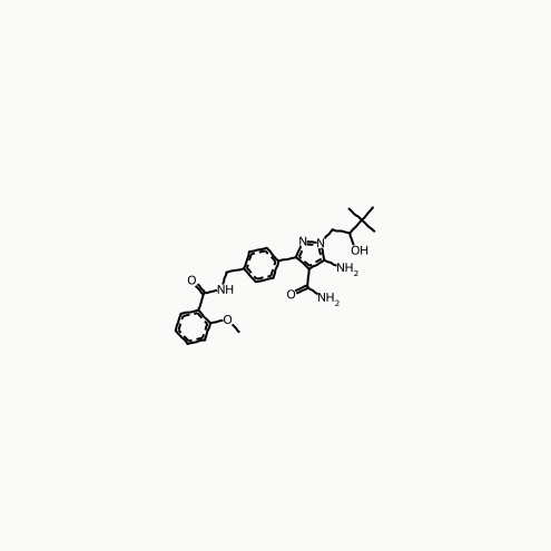 COc1ccccc1C(=O)NCc1ccc(-c2nn(CC(O)C(C)(C)C)c(N)c2C(N)=O)cc1